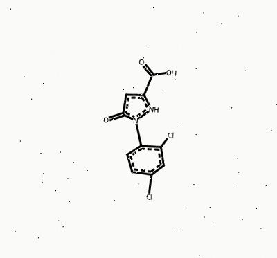 O=C(O)c1cc(=O)n(-c2ccc(Cl)cc2Cl)[nH]1